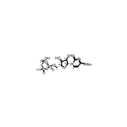 CNc1ccn([C@@H]2O[C@H](COP3(=O)OP(=O)(O)OP(=O)(O)O3)C(O)C2O)c(=O)n1